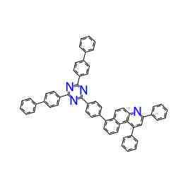 c1ccc(-c2ccc(-c3nc(-c4ccc(-c5ccccc5)cc4)nc(-c4ccc(-c5cccc6c5ccc5nc(-c7ccccc7)cc(-c7ccccc7)c56)cc4)n3)cc2)cc1